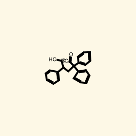 O=C(O)C(CC(C(=O)O)(c1ccccc1)c1ccccc1)c1ccccc1